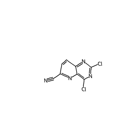 N#Cc1ccc2nc(Cl)nc(Cl)c2n1